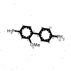 COc1cc(P)ccc1-c1ccc(P)cc1